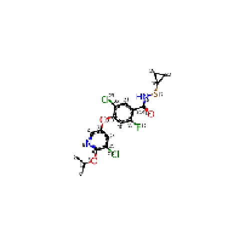 CC(C)Oc1ncc(Oc2cc(F)c(C(=O)NSC3CC3)cc2Cl)cc1Cl